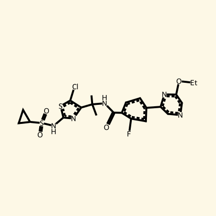 CCOc1cncc(-c2ccc(C(=O)NC(C)(C)c3nc(NS(=O)(=O)C4CC4)sc3Cl)c(F)c2)n1